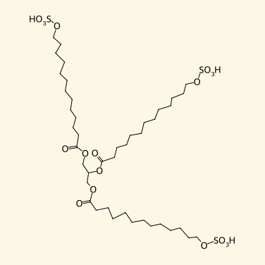 O=C(CCCCCCCCCCCCOS(=O)(=O)O)OCC(COC(=O)CCCCCCCCCCCCOS(=O)(=O)O)OC(=O)CCCCCCCCCCCCOS(=O)(=O)O